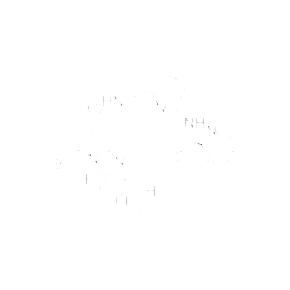 CC1(C)C[C@@H]2CC[C@H](c3ccccn3)Nc3cccc(n3)SNC(=O)c3ccc(Br)nc3N1C2